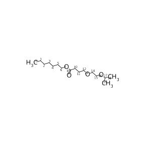 CCCCCCCOC(=O)CCCOCCOC(C)C